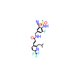 CC(C)Cc1nc(C(F)(F)F)ccc1C=CC(=O)NCc1cc(F)c(NS(C)(=O)=O)c(C#N)c1